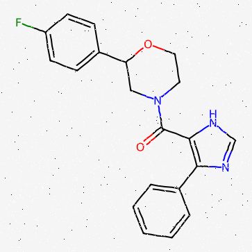 O=C(c1[nH]cnc1-c1ccccc1)N1CCOC(c2ccc(F)cc2)C1